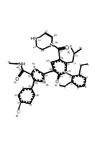 CCc1cccc(CC)c1-n1c(CC(C)C)c(C(=O)N2CCNCC2)cc(-c2nc(-c3ccc(Cl)cc3)c(C(=O)NC)s2)c1=O